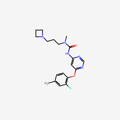 CN(CCCN1CCC1)C(=O)Nc1cc(Oc2ccc([N+](=O)[O-])cc2F)ncn1